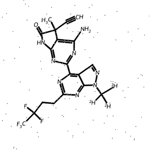 [2H]C([2H])([2H])n1ncc2c(-c3nc(N)c4c(n3)NC(=O)C4(C)C#C)nc(CCC(F)(F)C(F)(F)F)nc21